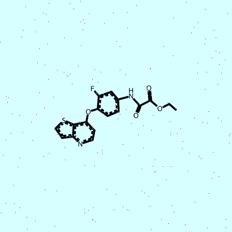 CCOC(=O)C(=O)Nc1ccc(Oc2ccnc3ccsc23)c(F)c1